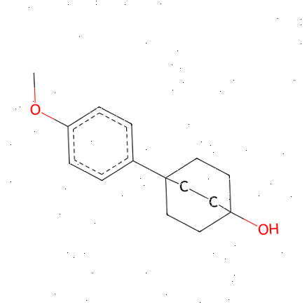 COc1ccc(C23CCC(O)(CC2)CC3)cc1